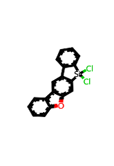 Cl[Si]1(Cl)c2ccccc2-c2cc3c(cc21)oc1ccccc13